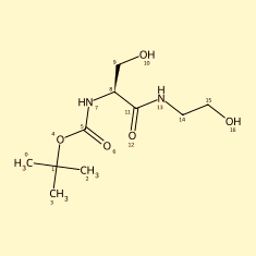 CC(C)(C)OC(=O)N[C@@H](CO)C(=O)NCCO